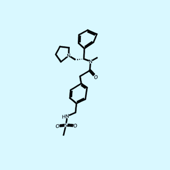 CN(C(=O)Cc1ccc(CNS(C)(=O)=O)cc1)[C@H](CN1CCCC1)c1ccccc1